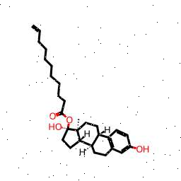 C=CCCCCCCCCC(=O)O[C@]1(O)CC[C@H]2[C@@H]3CCc4cc(O)ccc4[C@H]3CC[C@@]21C